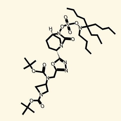 CCCCN(OS(=O)(=O)ON1C(=O)N2C[C@H]1CC[C@H]2c1nnc(CN(C(=O)OC(C)(C)C)C2CN(C(=O)OC(C)(C)C)C2)o1)C(CCC)(CCCC)CCCC